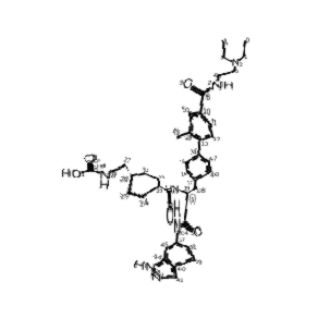 CCN(CC)CCNC(=O)c1ccc(-c2ccc(C[C@H](NC(=O)[C@H]3CC[C@H](CNC(=O)O)CC3)C(=O)Nc3ccc4cn[nH]c4c3)cc2)c(C)c1